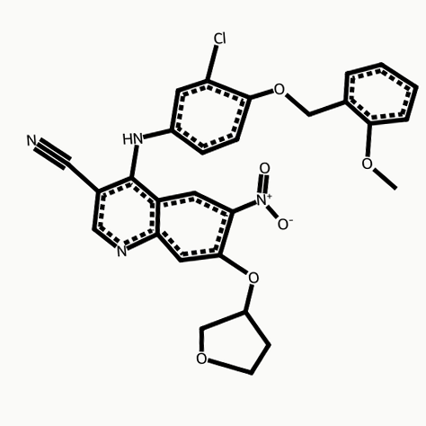 COc1ccccc1COc1ccc(Nc2c(C#N)cnc3cc(OC4CCOC4)c([N+](=O)[O-])cc23)cc1Cl